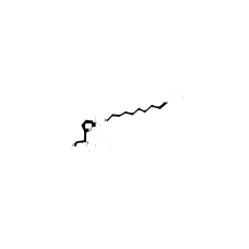 CCCCCCCC/C=C\CCCCCCCCOc1ccc(C(=O)CC(=O)OCC)o1